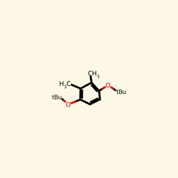 Cc1c(OC(C)(C)C)ccc(OC(C)(C)C)c1C